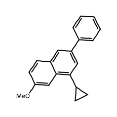 COc1ccc2cc(-c3ccccc3)cc(C3CC3)c2c1